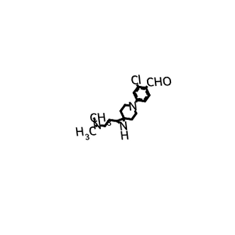 CN(C)CCC1NC12CCN(c1ccc(C=O)c(Cl)c1)CC2